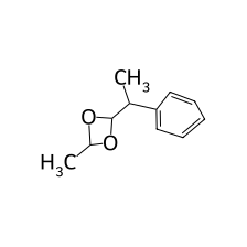 CC1OC(C(C)c2ccccc2)O1